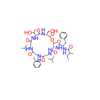 CCC(C)C(=O)N[C@H](Cc1ccccc1)C(=O)N[C@@H]1C(=O)N[C@H](CC(C)C)C(=O)N[C@H](Cc2ccccc2)C(=O)N[C@H](CC(C)C)C(=O)N[C@@H](C(C)O)C(=O)N[C@@H](CO)C(=O)OC1C